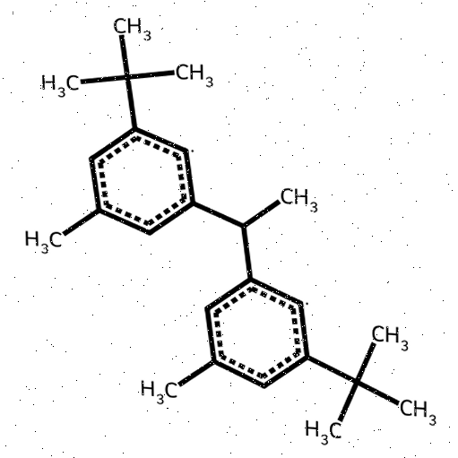 Cc1cc(C(C)c2[c]c(C(C)(C)C)cc(C)c2)[c]c(C(C)(C)C)c1